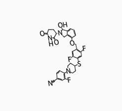 N#Cc1ccc(N2CCC(Sc3cc(F)c(COc4cccc5c4CN([C@H]4CCC(=O)NC4=O)C5O)cc3F)CC2)c(F)c1